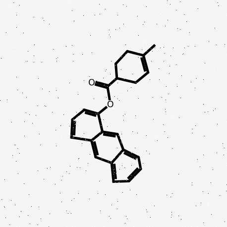 CC1=CCC(C(=O)Oc2cccc3cc4ccccc4cc23)CC1